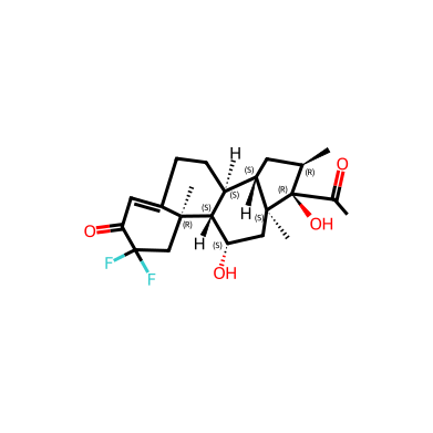 CC(=O)[C@@]1(O)[C@H](C)C[C@H]2[C@@H]3CCC4=CC(=O)C(F)(F)C[C@]4(C)[C@H]3[C@@H](O)C[C@@]21C